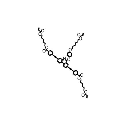 C=CC(=O)OCCCCCCOC(=O)c1ccc(C#Cc2ccc3c(c2)nc(Oc2ccc(OCCCCCCOC(=O)C=C)cc2)c2cc(C#Cc4ccc(C(=O)OCCCCCCOC(=O)C=C)cc4)ccc23)cc1